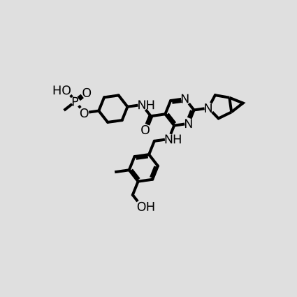 Cc1cc(CNc2nc(N3CC4CC4C3)ncc2C(=O)NC2CCC(OP(C)(=O)O)CC2)ccc1CO